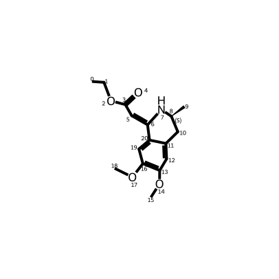 CCOC(=O)C=C1N[C@@H](C)Cc2cc(OC)c(OC)cc21